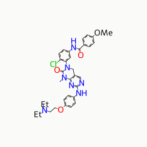 CCN(CC)CCOc1ccc(Nc2ncc3c(n2)N(C)C(=O)N(c2cc(NC(=O)c4ccc(OC)cc4)ccc2Cl)C3)cc1